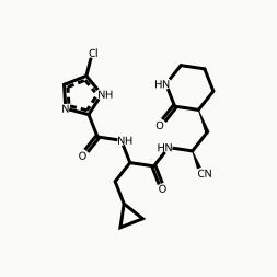 N#C[C@H](C[C@@H]1CCCNC1=O)NC(=O)C(CC1CC1)NC(=O)c1ncc(Cl)[nH]1